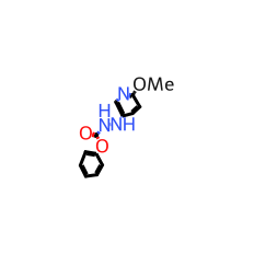 COc1ccc(NNC(=O)Oc2ccccc2)cn1